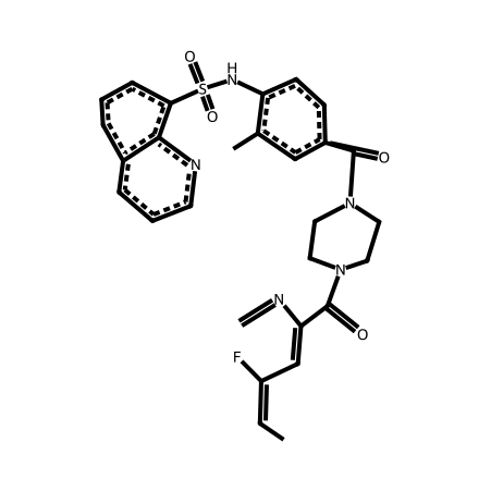 C=N/C(=C\C(F)=C/C)C(=O)N1CCN(C(=O)c2ccc(NS(=O)(=O)c3cccc4cccnc34)c(C)c2)CC1